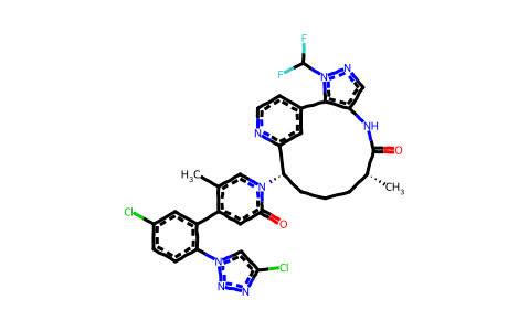 Cc1cn([C@H]2CCC[C@@H](C)C(=O)Nc3cnn(C(F)F)c3-c3ccnc2c3)c(=O)cc1-c1cc(Cl)ccc1-n1cc(Cl)nn1